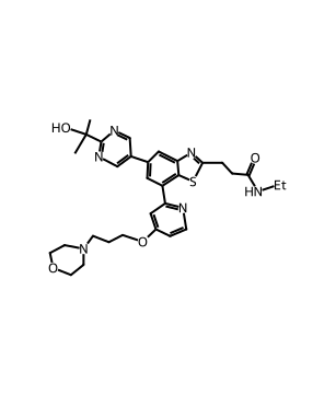 CCNC(=O)CCc1nc2cc(-c3cnc(C(C)(C)O)nc3)cc(-c3cc(OCCCN4CCOCC4)ccn3)c2s1